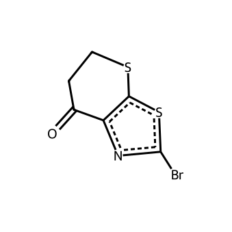 O=C1CCSc2sc(Br)nc21